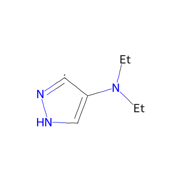 CCN(CC)c1[c]n[nH]c1